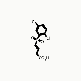 O=C(O)CC=CS(=O)(=O)c1cc(Cl)ccc1Cl